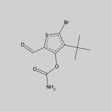 CC(C)(C)c1c(Br)sc(C=O)c1OC(N)=O